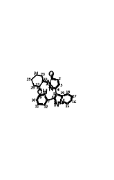 O=c1ccc(-c2c(-c3ccccc3)nn3ccccc23)nn1[C@@H]1CCCC[C@H]1O